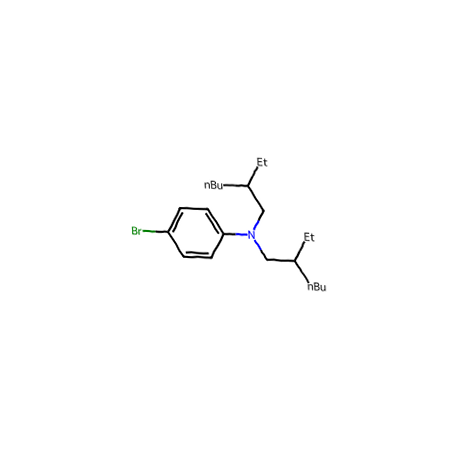 CCCCC(CC)CN(CC(CC)CCCC)c1ccc(Br)cc1